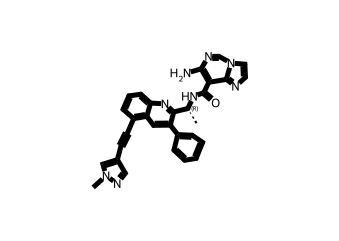 C[C@@H](NC(=O)c1c(N)ncn2ccnc12)c1nc2cccc(C#Cc3cnn(C)c3)c2cc1-c1ccccc1